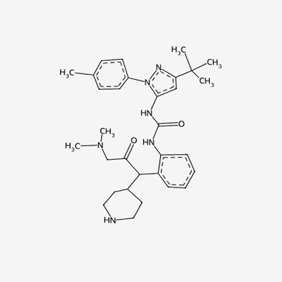 Cc1ccc(-n2nc(C(C)(C)C)cc2NC(=O)Nc2ccccc2C(C(=O)CN(C)C)C2CCNCC2)cc1